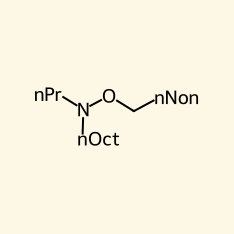 CCCCCCCCCCON(CCC)CCCCCCCC